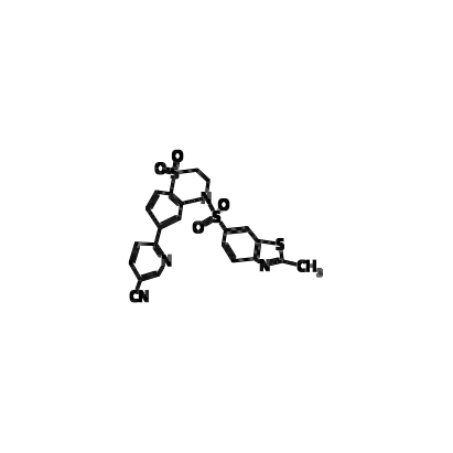 Cc1nc2ccc(S(=O)(=O)N3CCS(=O)(=O)c4ccc(-c5ccc(C#N)cn5)cc43)cc2s1